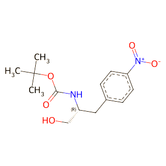 CC(C)(C)OC(=O)N[C@@H](CO)Cc1ccc([N+](=O)[O-])cc1